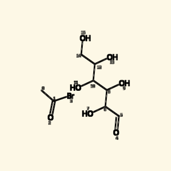 CC(=O)Br.O=CC(O)C(O)C(O)C(O)CO